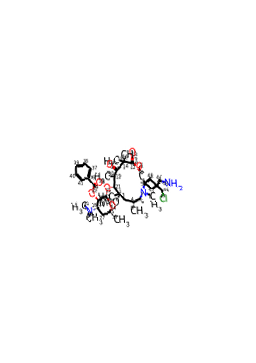 CO[C@]1(C)C[C@@H](C)CN(C)C2(COC(=O)C(C)(C)C(=O)[C@H](C)[C@H]1O[C@@H]1O[C@H](C)C[C@H](N(C)C)[C@H]1OC(=O)c1ccccc1)CC(CN)(CCl)C2